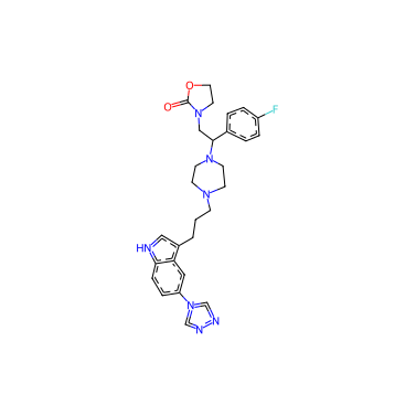 O=C1OCCN1CC(c1ccc(F)cc1)N1CCN(CCCc2c[nH]c3ccc(-n4cnnc4)cc23)CC1